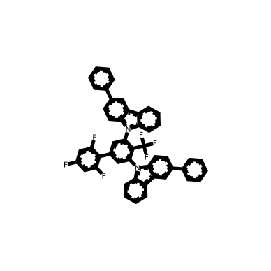 Fc1cc(F)c(-c2cc(-n3c4ccccc4c4cc(-c5ccccc5)ccc43)c(C(F)(F)F)c(-n3c4ccccc4c4cc(-c5ccccc5)ccc43)c2)c(F)c1